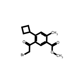 COC(=O)c1cc(C(=O)CBr)c(C2CCC2)cc1C